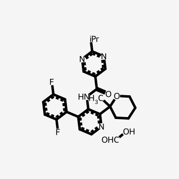 CC(C)c1ncc(C(=O)Nc2c(-c3cc(F)ccc3F)ccnc2C2(C)CCCCO2)cn1.O=CO